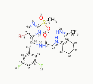 CS(=O)(=O)c1ncc(Br)c([C@@H](Cc2cc(F)cc(F)c2)NC(=O)CNC2=C(C(=N)C(F)(F)F)CCCC2)n1